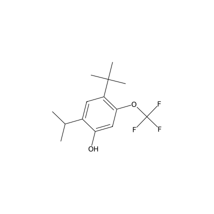 CC(C)c1cc(C(C)(C)C)c(OC(F)(F)F)cc1O